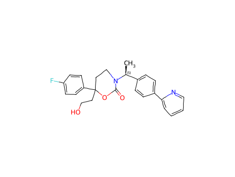 C[C@@H](c1ccc(-c2ccccn2)cc1)N1CCC(CCO)(c2ccc(F)cc2)OC1=O